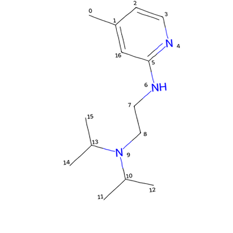 Cc1ccnc(NCCN(C(C)C)C(C)C)c1